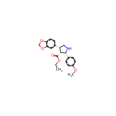 CCOC(=O)[C@H]1[C@@H](c2ccc(OC)cc2)NC[C@H]1c1ccc2c(c1)OCO2